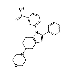 O=C(O)c1cccc(-n2c(-c3ccccc3)cc3c2CCC(N2CCOCC2)C3)c1